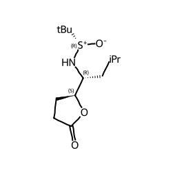 CC(C)C[C@@H](N[S@@+]([O-])C(C)(C)C)[C@@H]1CCC(=O)O1